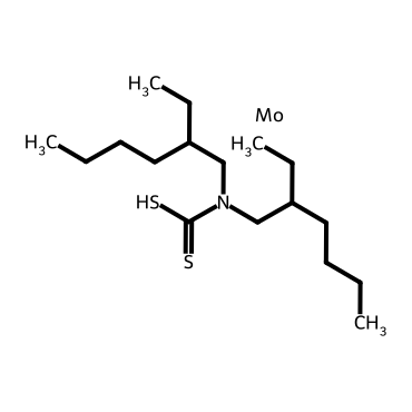 CCCCC(CC)CN(CC(CC)CCCC)C(=S)S.[Mo]